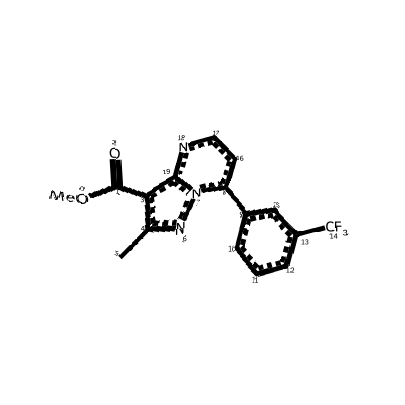 COC(=O)c1c(C)nn2c(-c3cccc(C(F)(F)F)c3)ccnc12